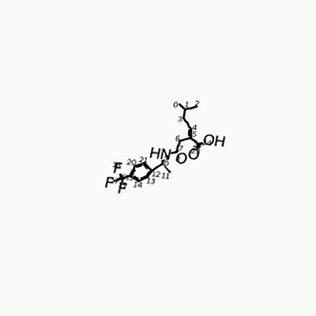 CC(C)C/C=C(\CC(=O)N[C@@H](C)c1ccc(C(F)(F)F)cc1)C(=O)O